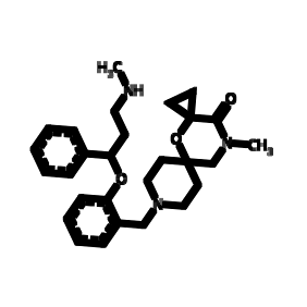 CNCCC(Oc1ccccc1CN1CCC2(CC1)CN(C)C(=O)C1(CC1)O2)c1ccccc1